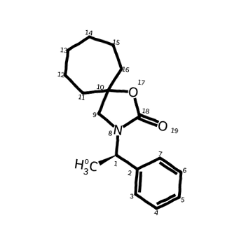 C[C@H](c1ccccc1)N1CC2(CCCCCC2)OC1=O